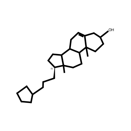 CC12CCC(O)CC1=CCC1C2CCC2(C)C1CC[C@@H]2CCCC1CCCC1